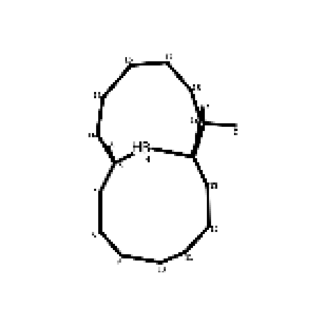 CC(C)C12BC(C)(CCCCCCC1)CCCCCC2